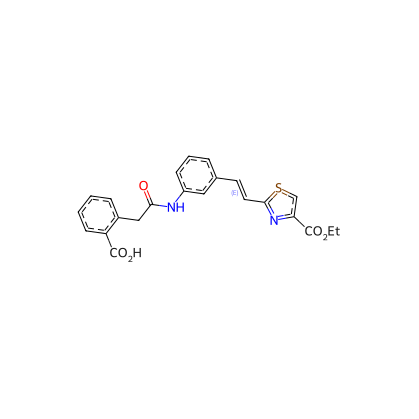 CCOC(=O)c1csc(/C=C/c2cccc(NC(=O)Cc3ccccc3C(=O)O)c2)n1